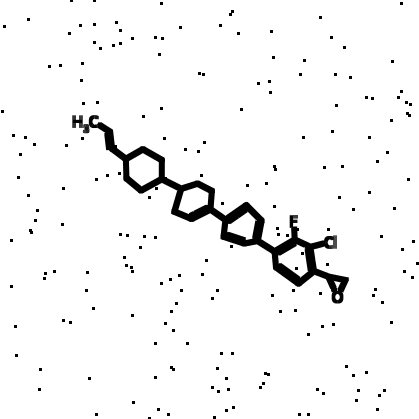 C/C=C/C1CCC(C2CC=C(c3ccc(-c4ccc(C5CO5)c(Cl)c4F)cc3)CC2)CC1